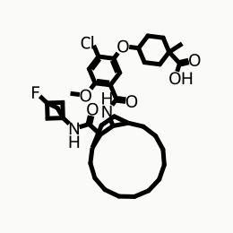 COc1cc(Cl)c(OC2CCC(C)(C(=O)O)CC2)cc1C(=O)NC1C2CCCCCCCCCCCC(CC2)C1C(=O)NC12CC(F)(C1)C2